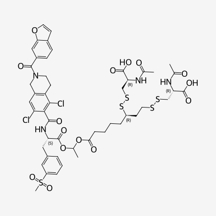 CC(=O)N[C@@H](CSSCC[C@@H](CCCCC(=O)OC(C)OC(=O)[C@H](Cc1cccc(S(C)(=O)=O)c1)NC(=O)c1c(Cl)cc2c(c1Cl)CCN(C(=O)c1ccc3ccoc3c1)C2)SSC[C@H](NC(C)=O)C(=O)O)C(=O)O